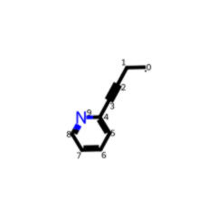 [CH2]CC#Cc1ccccn1